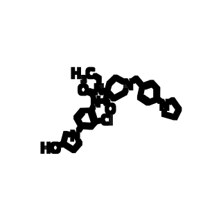 CCN1C(=O)N(c2ccc(N3CCC(O)C3)cc2Cl)C(=O)C12CCN(Cc1ccc(N3CCCC3)cc1)CC2